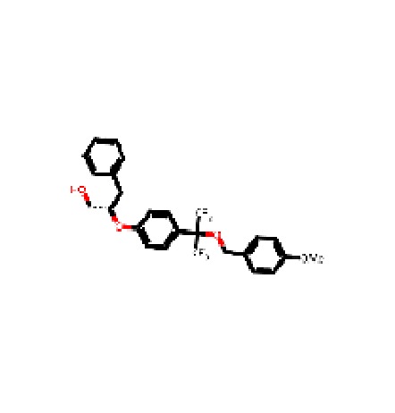 COc1ccc(COC(c2ccc(O[C@H](CO)Cc3ccccc3)cc2)(C(F)(F)F)C(F)(F)F)cc1